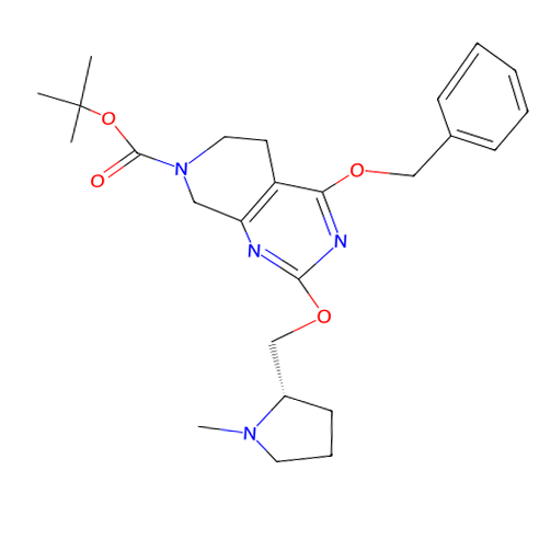 CN1CCC[C@H]1COc1nc2c(c(OCc3ccccc3)n1)CCN(C(=O)OC(C)(C)C)C2